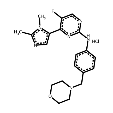 Cc1ncc(-c2nc(Nc3ccc(CN4CCOCC4)cc3)ncc2F)n1C.Cl